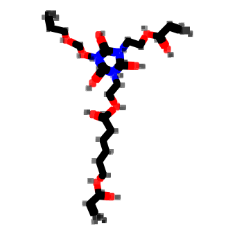 C=CCOCOn1c(=O)n(CCOC(=O)C=C)c(=O)n(CCOC(=O)CCCCCOC(=O)C=C)c1=O